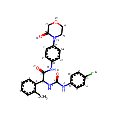 Cc1ccccc1C(NC(=O)Nc1ccc(Cl)cc1)C(=O)Nc1ccc(N2CCOCC2=O)cc1